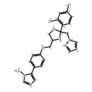 Cn1cncc1-c1ccc(OCC2COC(Cn3cncn3)(c3ccc(Cl)cc3Cl)O2)cc1